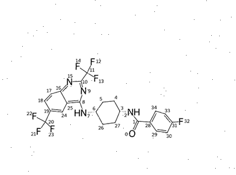 O=C(N[C@H]1CC[C@@H](Nc2nc(C(F)(F)F)nc3ccc(C(F)(F)F)cc23)CC1)c1ccc(F)cc1